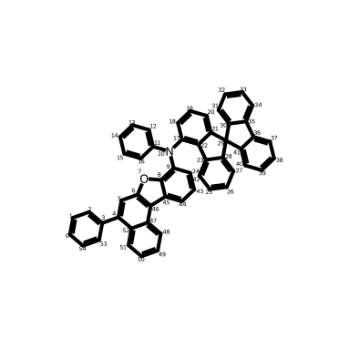 c1ccc(-c2cc3oc4c(N(c5ccccc5)c5cccc6c5-c5ccccc5C65c6ccccc6-c6ccccc65)cccc4c3c3ccccc23)cc1